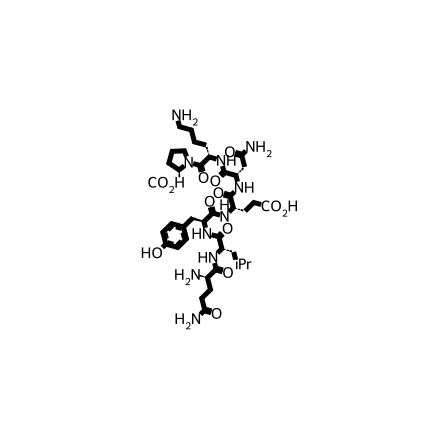 CC(C)C[C@H](NC(=O)[C@@H](N)CCC(N)=O)C(=O)N[C@@H](Cc1ccc(O)cc1)C(=O)N[C@@H](CCC(=O)O)C(=O)N[C@@H](CC(N)=O)C(=O)N[C@@H](CCCCN)C(=O)N1CCC[C@H]1C(=O)O